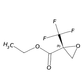 CCOC(=O)[C@@]1(C(F)(F)F)CO1